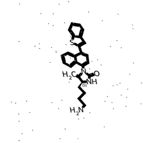 C=C1[C@H](CCCCN)NC(=O)N1c1ccc(-c2cc3ccccc3s2)c2ccccc12